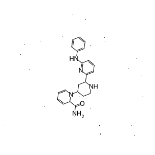 NC(=O)C1C=CC=CN1C1CCNC(c2cccc(Nc3ccccc3)n2)C1